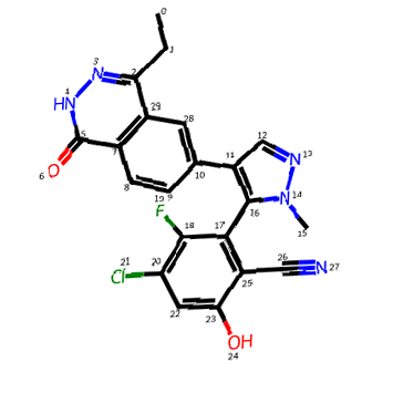 CCc1n[nH]c(=O)c2ccc(-c3cnn(C)c3-c3c(F)c(Cl)cc(O)c3C#N)cc12